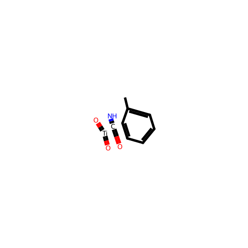 Cc1ccccc1.N=C=O.[O]=[Ti]=[O]